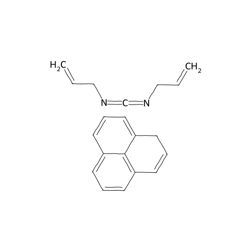 C1=Cc2cccc3cccc(c23)C1.C=CCN=C=NCC=C